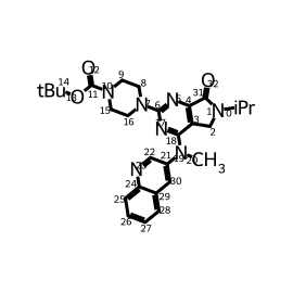 CC(C)N1Cc2c(nc(N3CCN(C(=O)OC(C)(C)C)CC3)nc2N(C)c2cnc3ccccc3c2)C1=O